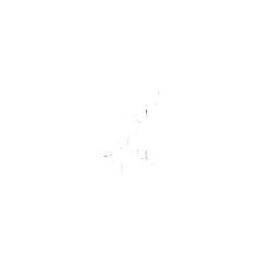 C=C1O[C@H]2[C@@H](O1)[C@@H](COC(=O)/C=C/C(=O)OC)O[C@@H]1OC(C)(C)O[C@@H]12